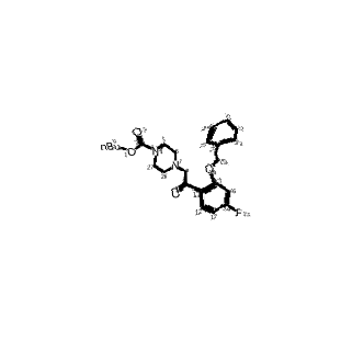 CCCCOC(=O)N1CCN(CC(=O)c2ccc(F)cc2OCc2ccccc2)CC1